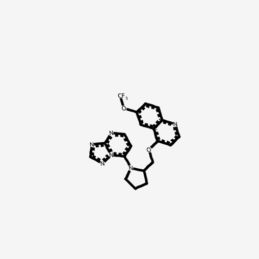 FC(F)(F)Oc1ccc2nccc(OCC3CCCN3c3ccnc4ncnn34)c2c1